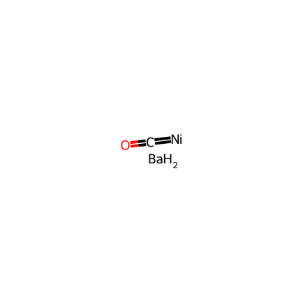 O=[C]=[Ni].[BaH2]